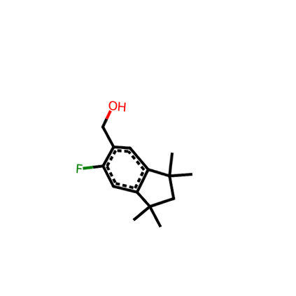 CC1(C)CC(C)(C)c2cc(CO)c(F)cc21